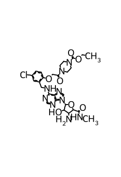 CCOC(=O)N1CCN(C(=O)COc2ccc(Cl)cc2CNc2ncnc3c2ncn3C2OC(C(=O)NC)C(N)C2O)CC1